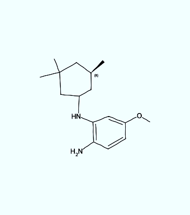 COc1ccc(N)c(NC2C[C@H](C)CC(C)(C)C2)c1